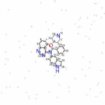 CN1CCC(Oc2cccc3ncnc(N(Cc4ccccc4)c4ccc5[nH]ccc5c4)c23)CC1